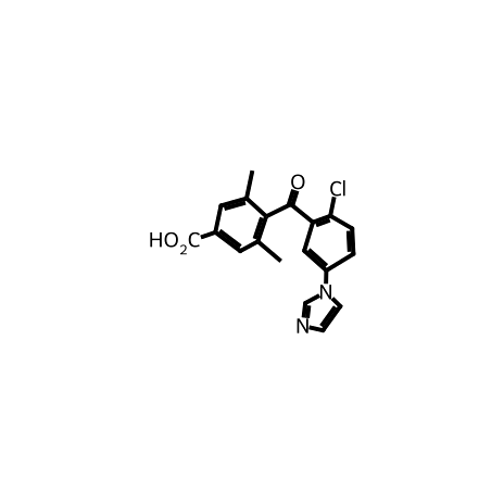 Cc1cc(C(=O)O)cc(C)c1C(=O)c1cc(-n2ccnc2)ccc1Cl